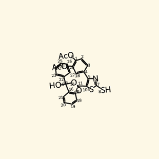 CC(=O)Oc1ccc(-c2nc(S)sc2C(=O)OC(O)(c2ccccc2)c2ccccc2)cc1OC(C)=O